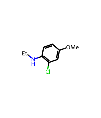 CCNc1ccc(OC)cc1Cl